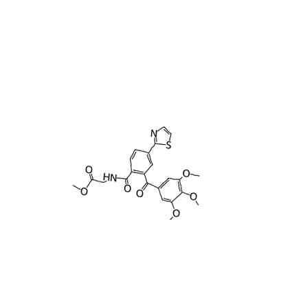 COC(=O)CNC(=O)c1ccc(-c2nccs2)cc1C(=O)c1cc(OC)c(OC)c(OC)c1